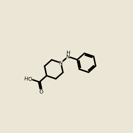 O=C(O)C1CCN(Nc2ccccc2)CC1